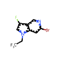 Fc1cn(CC(F)(F)F)c2cc(Br)ncc12